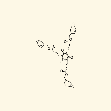 O=C(CCCn1c(=O)n(CCCC(=O)OCC2CC3CC2C2OC32)c(=O)n(CCCC(=O)OCC2CC3CC2C2OC32)c1=O)OCC1CC2CC1C1OC21